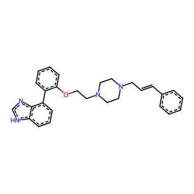 C(=Cc1ccccc1)CN1CCN(CCOc2ccccc2-c2cccc3[nH]cnc23)CC1